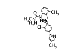 Cc1cnn(-c2ccc(OCc3c(C)cccc3N(N)C(=O)N(C)N)c(Cl)c2)c1